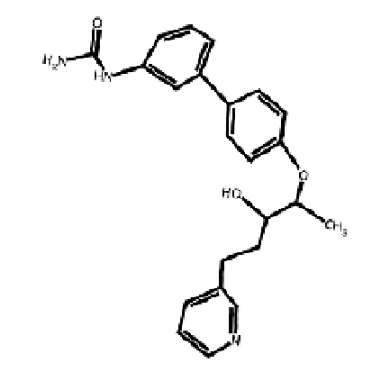 CC(Oc1ccc(-c2cccc(NC(N)=O)c2)cc1)C(O)CCc1cccnc1